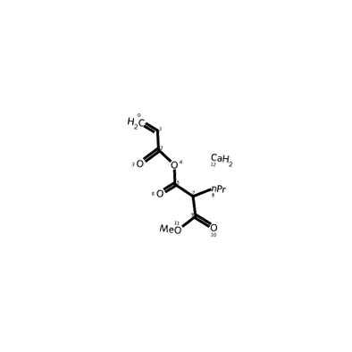 C=CC(=O)OC(=O)C(CCC)C(=O)OC.[CaH2]